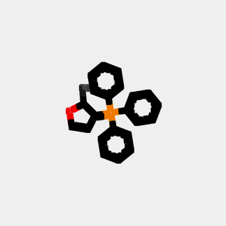 O=CC1OC=CC1=P(c1ccccc1)(c1ccccc1)c1ccccc1